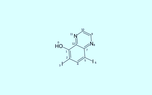 Oc1c(I)cc(I)c2nccnc12